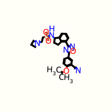 CC(C)Oc1ccc(-c2nc(-c3cccc4c3CCC4NS(=O)(=O)CCN3CCC3)no2)cc1C#N